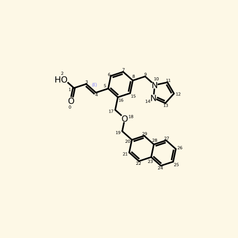 O=C(O)/C=C/c1ccc(Cn2cccn2)cc1COCc1ccc2ccccc2c1